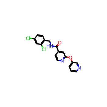 O=C(NCc1ccc(Cl)cc1Cl)c1ccnc(Oc2cccnc2)c1